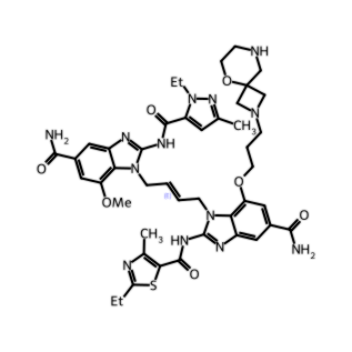 CCc1nc(C)c(C(=O)Nc2nc3cc(C(N)=O)cc(OCCCN4CC5(CNCCO5)C4)c3n2C/C=C/Cn2c(NC(=O)c3cc(C)nn3CC)nc3cc(C(N)=O)cc(OC)c32)s1